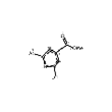 COC(=O)c1cc(Cl)nc(C(C)=O)c1